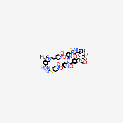 CC(C)C1NC(=S)N(c2ccc(OC(=O)N3CCC(CCN(C)Cc4ccccc4)CC3)cn2)C1=O.O=C(Nc1ccc(OC(=O)N2CCC(Sc3nc[nH]n3)CC2)cn1)c1ccc(CN2CCOCC2)cc1